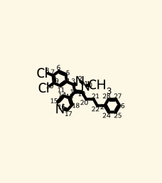 Cn1nc(-c2ccc(Cl)c(Cl)c2)c(-c2ccncc2)c1CCCc1ccccc1